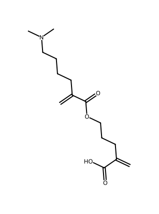 C=C(CCCOC(=O)C(=C)CCCCN(C)C)C(=O)O